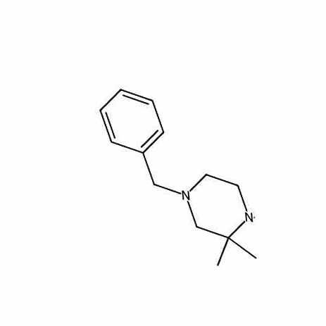 CC1(C)CN(Cc2ccccc2)CC[N]1